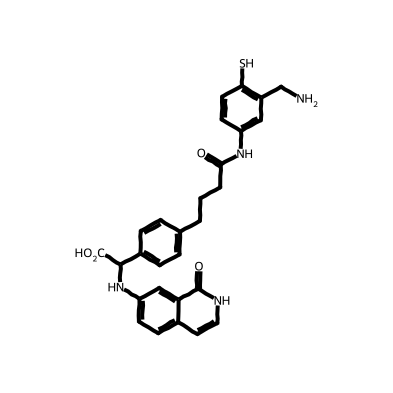 NCc1cc(NC(=O)CCCc2ccc(C(Nc3ccc4cc[nH]c(=O)c4c3)C(=O)O)cc2)ccc1S